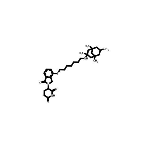 CC1CC2(C)CC(C)(C1)CC(C)(NCCCCCCCSc1cccc3c1CN(C1CCC(=O)NC1=O)C3=O)C2